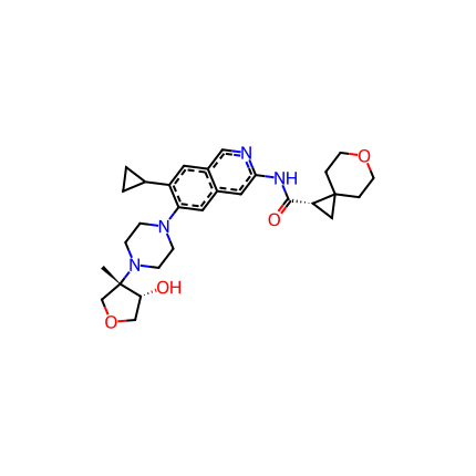 C[C@]1(N2CCN(c3cc4cc(NC(=O)[C@H]5CC56CCOCC6)ncc4cc3C3CC3)CC2)COC[C@H]1O